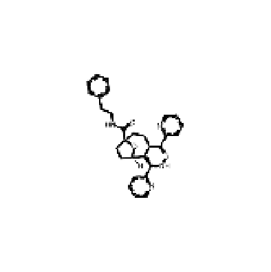 O=C(NCCc1ccccc1)[C@]12CCC3C(c4ccccn4)=NNC(c4ccccn4)=C3[C@@H](CC1)O2